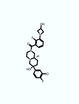 O=C(c1cccc(N2CC(O)C2)c1F)N1CCN2C[C@@](O)(c3ccc(F)c(Cl)c3)CC[C@@H]2C1